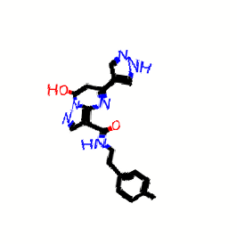 Cc1ccc(CCNC(=O)c2cnn3c(O)cc(-c4cn[nH]c4)nc23)cc1